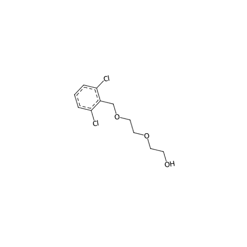 OCCOCCOCc1c(Cl)cccc1Cl